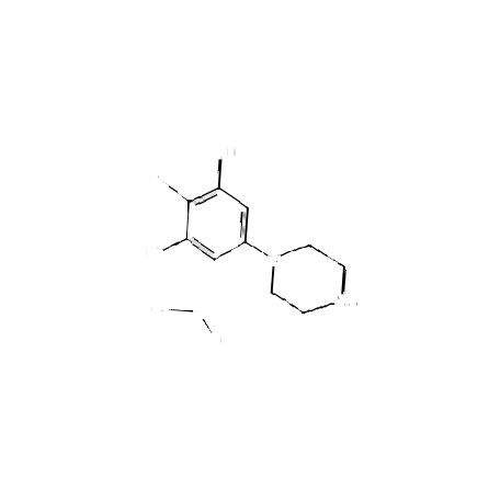 CC(C)(C)OC=O.Cc1cc(N2CCNCC2)cc(C)c1[N+](=O)[O-]